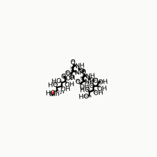 O=C(O)[C@H](O)[C@@H](O)[C@H](O)[C@H](O)CO.O=C(O)[C@H](O)[C@@H](O)[C@H](O)[C@H](O)CO.O=C([O-])c1cc(=O)[nH]c(=O)[nH]1.O=C([O-])c1cc(=O)[nH]c(=O)[nH]1.[Mn+2]